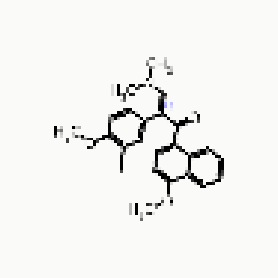 COc1ccc(/C(=C\N(C)C)C(=O)c2ccc(OC)c3ccccc23)cc1I